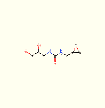 O=C(NCC(O)CO)NCC1CO1